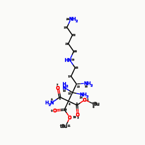 CC(C)(C)OC(=O)C(C(N)=O)(C(=O)OC(C)(C)C)C(N)(N)C(N)CCNCCCCN